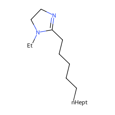 CCCCCCCCCCCCC1=NCCN1CC